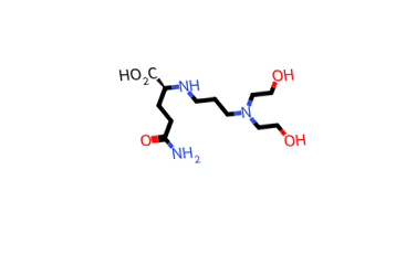 NC(=O)CC[C@H](NCCCN(CCO)CCO)C(=O)O